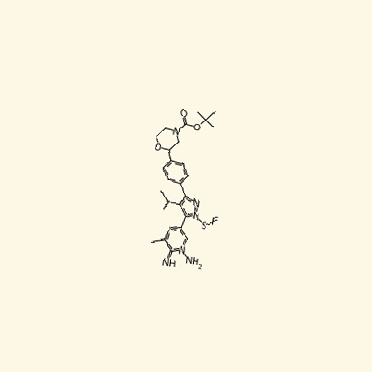 Cc1cc(-c2c(C(C)C)c(-c3ccc(C4CN(C(=O)OC(C)(C)C)CCO4)cc3)nn2SF)cn(N)c1=N